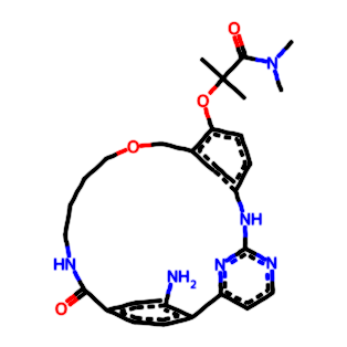 CN(C)C(=O)C(C)(C)Oc1ccc2cc1COCCCCNC(=O)c1ccc(c(N)c1)-c1ccnc(n1)N2